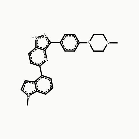 CN1CCN(c2ccc(-c3n[nH]c4ccc(-c5cccc6c5ccn6C)nc34)cc2)CC1